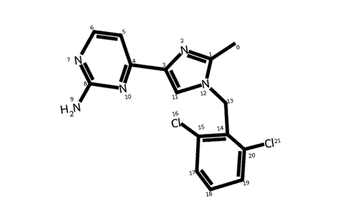 Cc1nc(-c2ccnc(N)n2)cn1Cc1c(Cl)cccc1Cl